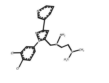 CN(C)CCN(N)Cc1cc(-c2cccnc2)nn1-c1ccc(Cl)c(Cl)c1